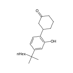 CCCCCCC(C)(C)c1ccc(C2CCCC(=O)C2)c(O)c1